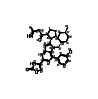 CC(=N)NC(=O)C1CCCN1c1nc2nc(-c3noc(=O)[nH]3)nc(-c3cncc(Cl)c3)c2n1C[C@H]1CC[C@H](C)CC1